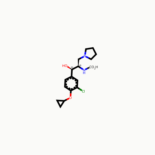 O=C(O)N[C@H](CN1CCCC1)[C@H](O)c1ccc(OC2CC2)c(Cl)c1